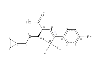 O=C(O)[C@H](CSCC1CC1)/N=C(/c1ccc(F)cc1)C(F)(F)F